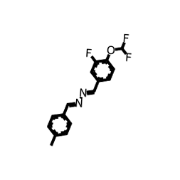 Cc1ccc(C=NN=Cc2ccc(OC(F)F)c(F)c2)cc1